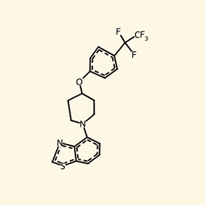 FC(F)(F)C(F)(F)c1ccc(OC2CCN(c3cccc4scnc34)CC2)cc1